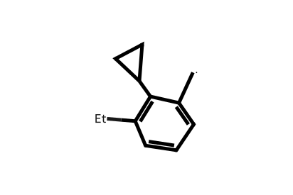 [CH2]c1cccc(CC)c1C1CC1